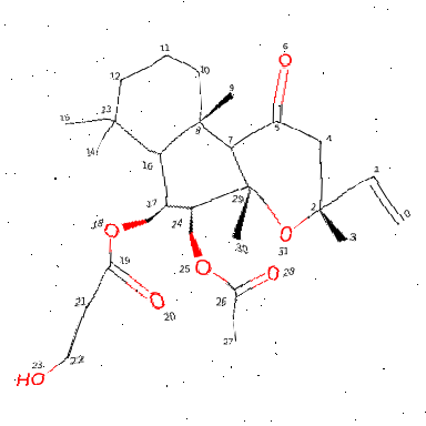 C=C[C@@]1(C)CC(=O)C2[C@@]3(C)CCCC(C)(C)C3[C@H](OC(=O)CCO)[C@H](OC(C)=O)[C@@]2(C)O1